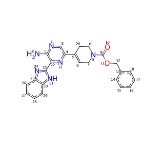 Nc1ncc(C2=CCN(C(=O)OCc3ccccc3)CC2)nc1-c1nc2ccccc2[nH]1